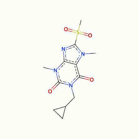 Cn1c(S(C)(=O)=O)nc2c1c(=O)n(CC1CC1)c(=O)n2C